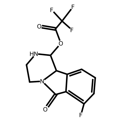 O=C1c2c(F)cccc2C2C(OC(=O)C(F)(F)F)NCCN12